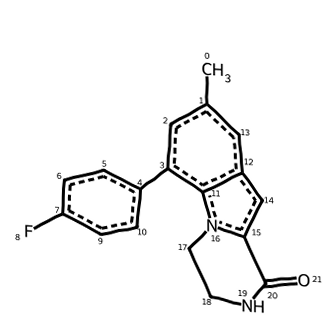 Cc1cc(-c2ccc(F)cc2)c2c(c1)cc1n2CCNC1=O